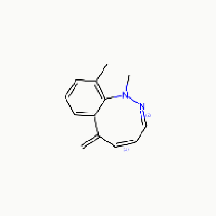 C=C1/C=C\C=N/N(C)c2c(C)cccc21